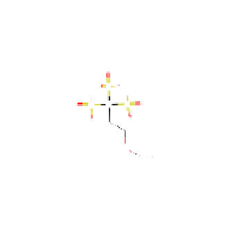 CNOCC[Si](S(C)(=O)=O)(S(C)(=O)=O)S(C)(=O)=O